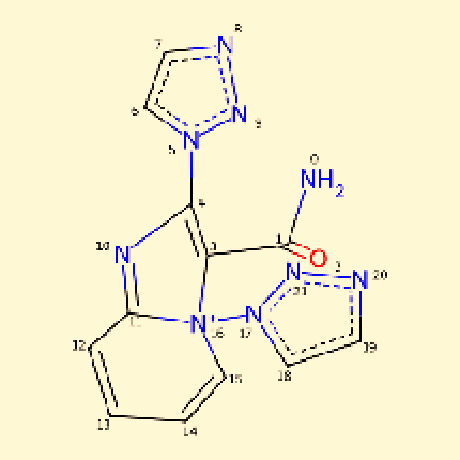 NC(=O)C1=C(n2ccnn2)N=C2C=CC=C[N+]21n1ccnn1